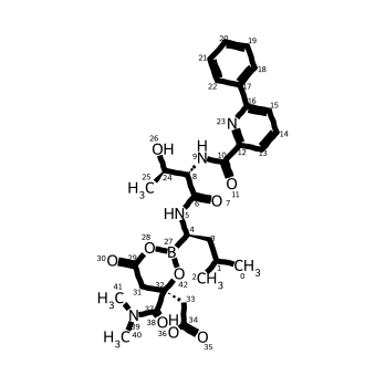 CC(C)C[C@H](NC(=O)[C@@H](NC(=O)c1cccc(-c2ccccc2)n1)[C@@H](C)O)B1OC(=O)C[C@](CC(=O)O)(C(=O)N(C)C)O1